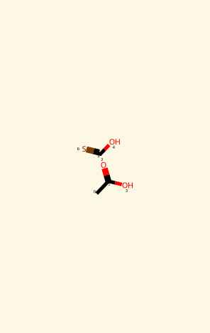 CC(=O)O.OC=S